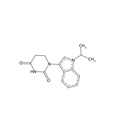 CC(C)n1cc(N2CCC(=O)NC2=O)c2ccccc21